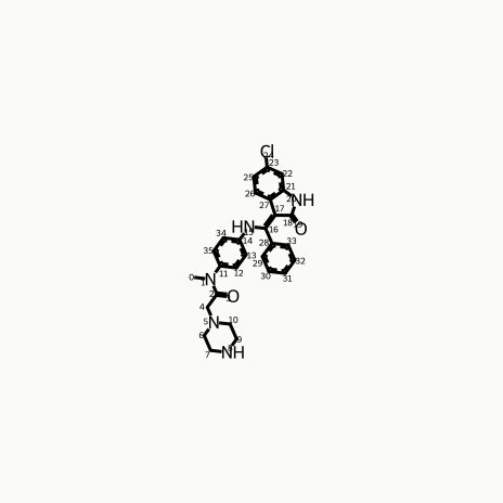 CN(C(=O)CN1CCNCC1)c1ccc(NC(=C2C(=O)Nc3cc(Cl)ccc32)c2ccccc2)cc1